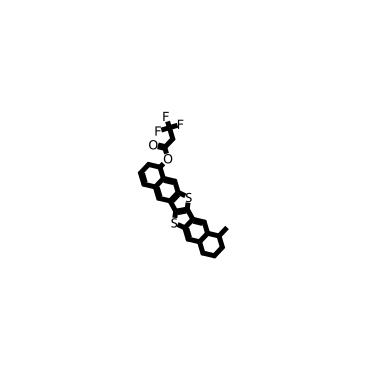 CC1CCCC2C=c3sc4c(sc5cc6c(cc54)C=CCC6OC(=O)CC(F)(F)F)c3=CC12